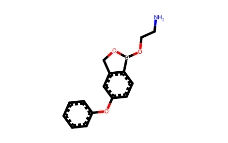 NCCOB1OCc2cc(Oc3ccccc3)ccc21